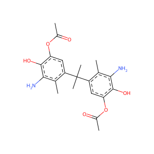 CC(=O)Oc1cc(C(C)(C)c2cc(OC(C)=O)c(O)c(N)c2C)c(C)c(N)c1O